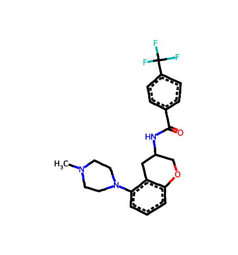 CN1CCN(c2cccc3c2CC(NC(=O)c2ccc(C(F)(F)F)cc2)CO3)CC1